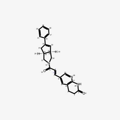 O=C1CCc2cc(/C=C/C(=O)N3C[C@H]4CC(c5ccccc5)=C[C@H]4C3)cnc2N1